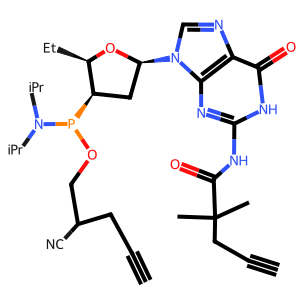 C#CCC(C#N)COP([C@@H]1C[C@H](n2cnc3c(=O)[nH]c(NC(=O)C(C)(C)CC#C)nc32)O[C@@H]1CC)N(C(C)C)C(C)C